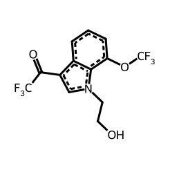 O=C(c1cn(CCO)c2c(OC(F)(F)F)cccc12)C(F)(F)F